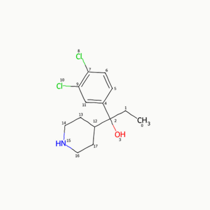 CCC(O)(c1ccc(Cl)c(Cl)c1)C1CCNCC1